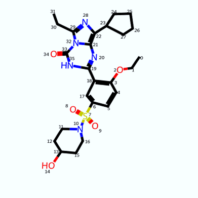 CCOc1ccc(S(=O)(=O)N2CCC(O)CC2)cc1-c1nc2c(C3CCCC3)nc(CC)n2c(=O)[nH]1